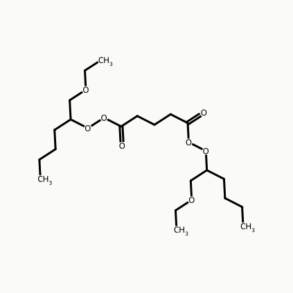 CCCCC(COCC)OOC(=O)CCCC(=O)OOC(CCCC)COCC